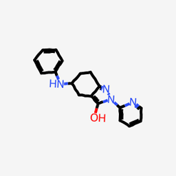 Oc1c2c(nn1-c1ccccn1)CCC(Nc1ccccc1)C2